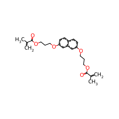 C=C(C)C(=O)OCCCOc1ccc2ccc(OCCCOC(=O)C(=C)C)cc2c1